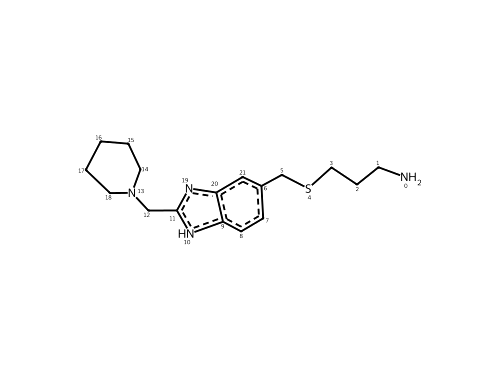 NCCCSCc1ccc2[nH]c(CN3CCCCC3)nc2c1